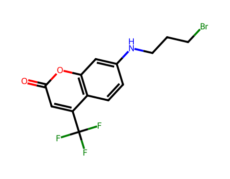 O=c1cc(C(F)(F)F)c2ccc(NCCCBr)cc2o1